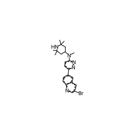 CN(c1ccc(-c2ccc3ncc(Br)cc3c2)nn1)C1CC(C)(C)NC(C)(C)C1